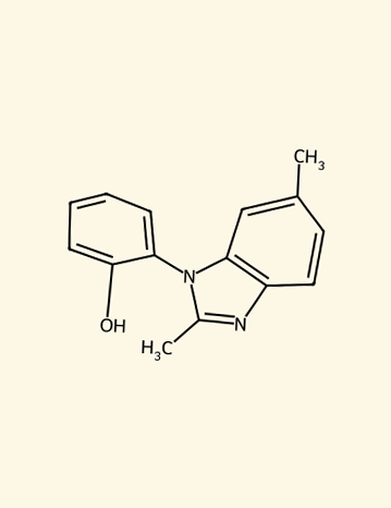 Cc1ccc2nc(C)n(-c3ccccc3O)c2c1